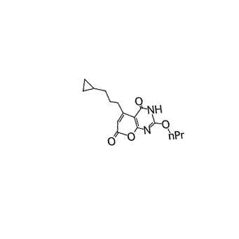 CCCOc1nc2oc(=O)cc(CCCC3CC3)c2c(=O)[nH]1